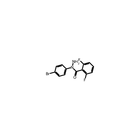 NN(C(=O)c1c(F)cccc1F)c1ccc(Br)cc1